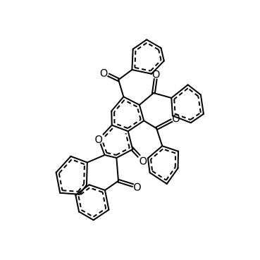 O=C(c1ccccc1)c1cc2oc(-c3ccccc3)c(C(=O)c3ccccc3)c(=O)c2c(C(=O)c2ccccc2)c1C(=O)c1ccccc1